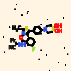 Cc1nc([C@@H]2CC[C@H](F)C[C@H]2C(=O)N[C@H](C#N)C(C)C)c(-c2ccc(N3CCS(O)(O)CC3)cc2)s1